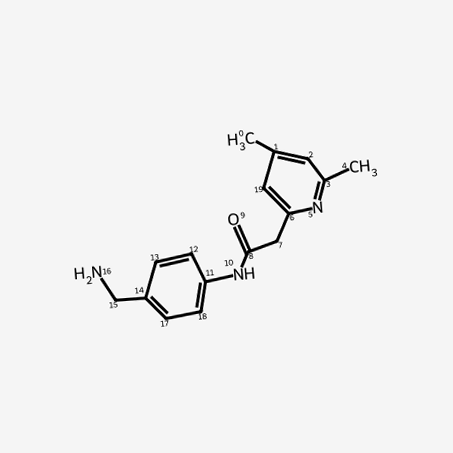 Cc1cc(C)nc(CC(=O)Nc2ccc(CN)cc2)c1